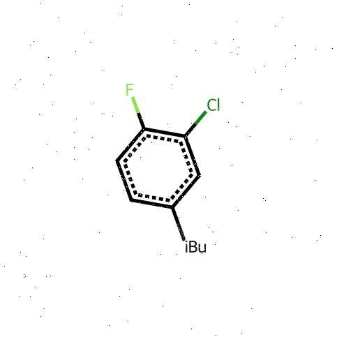 CCC(C)c1ccc(F)c(Cl)c1